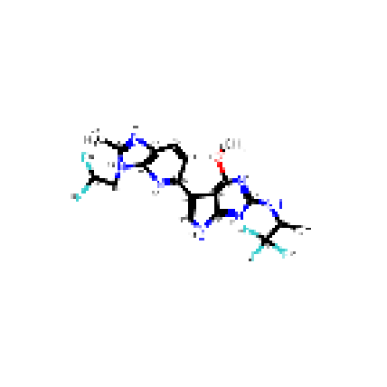 COc1nc(NC(C)C(F)(F)F)nc2[nH]cc(-c3ccc4nc(C)n(CC(F)F)c4n3)c12